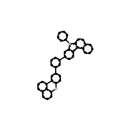 c1ccc(-n2c3cc(-c4cccc(-c5ccc6c(c5)-c5cccc7cccc(c57)O6)c4)ccc3c3c4ccccc4ccc32)cc1